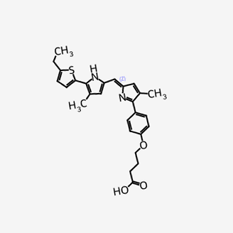 CCc1ccc(-c2[nH]c(/C=C3/C=C(C)C(c4ccc(OCCCC(=O)O)cc4)=N3)cc2C)s1